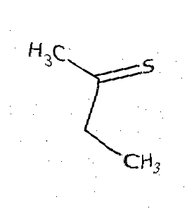 CCC(C)=S